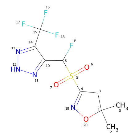 CC1(C)CC(S(=O)(=O)C(F)c2n[nH]nc2C(F)(F)F)=NO1